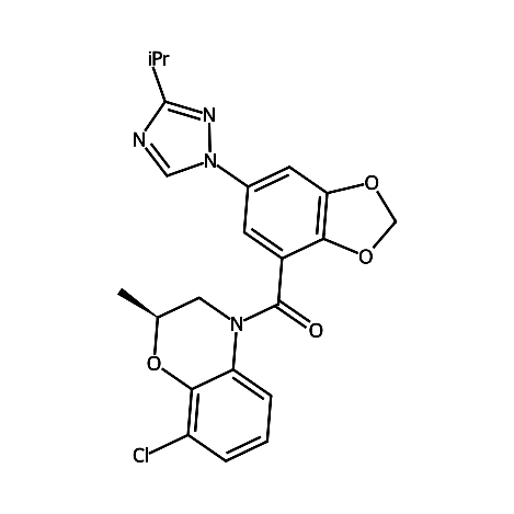 CC(C)c1ncn(-c2cc3c(c(C(=O)N4C[C@H](C)Oc5c(Cl)cccc54)c2)OCO3)n1